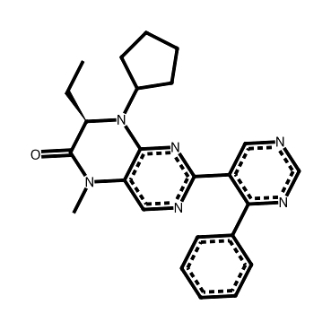 CC[C@@H]1C(=O)N(C)c2cnc(-c3cncnc3-c3ccccc3)nc2N1C1CCCC1